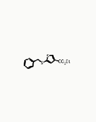 CCOC(=O)c1csc(SCc2ccccc2)c1